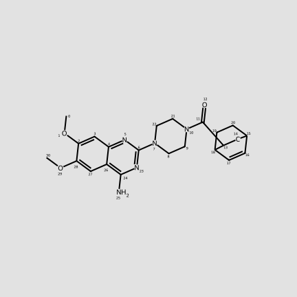 COc1cc2nc(N3CCN(C(=O)C4CC5C=CC4CC5)CC3)nc(N)c2cc1OC